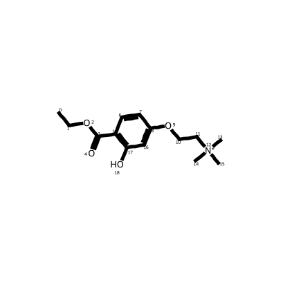 CCOC(=O)c1ccc(OCC[N+](C)(C)C)cc1O